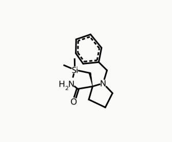 C[Si](C)(C)C[C@]1(C(N)=O)CCCN1Cc1ccccc1